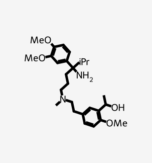 COc1ccc(C(N)(CCCN(C)CCc2ccc(OC)c(C(C)O)c2)C(C)C)cc1OC